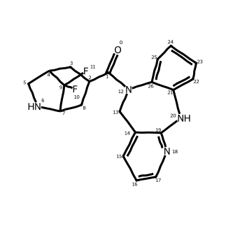 O=C(C1CC2CNC(C1)C2(F)F)N1Cc2cccnc2Nc2ccccc21